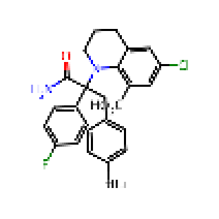 CC(C)(C)c1ccc(CC(C(N)=O)(c2ccc(F)cc2)N2CCCc3cc(Cl)cc(C(=O)O)c32)cc1